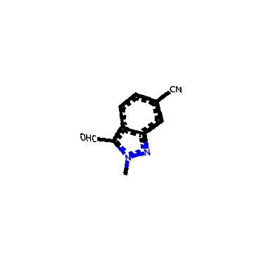 Cn1nc2cc(C#N)ccc2c1C=O